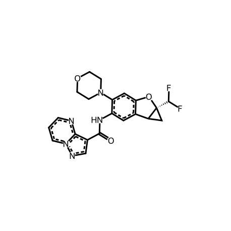 O=C(Nc1cc2c(cc1N1CCOCC1)O[C@@]1(C(F)F)CC21)c1cnn2cccnc12